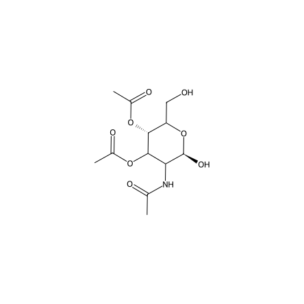 CC(=O)NC1C(OC(C)=O)[C@H](OC(C)=O)C(CO)O[C@H]1O